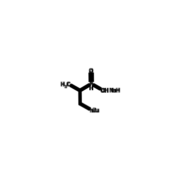 CCCCCC(C)[PH](=O)O.[NaH]